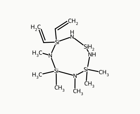 C=C[Si]1(C=C)N[SiH2]N[Si](C)(C)N(C)[Si](C)(C)N1C